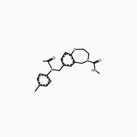 CNC(=O)N1CCOc2ccc(CN(C(C)=O)c3ccc(C)cc3)cc2C1